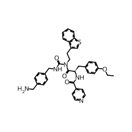 CCOc1ccc(C[C@@H](NC(=O)c2ccncc2)C(=O)N(CCc2csc3ccccc23)C(=O)NCc2ccc(CN)cc2)cc1